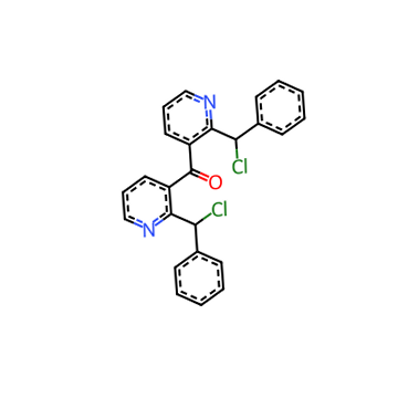 O=C(c1cccnc1C(Cl)c1ccccc1)c1cccnc1C(Cl)c1ccccc1